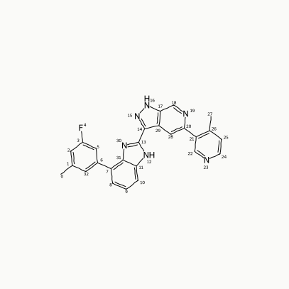 Cc1cc(F)cc(-c2cccc3[nH]c(-c4n[nH]c5cnc(-c6cnccc6C)cc45)nc23)c1